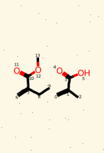 C=C(C)C(=O)O.C=C(CC)C(=O)OC